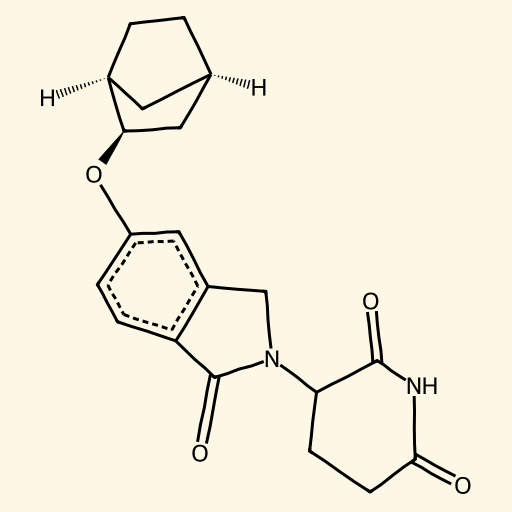 O=C1CCC(N2Cc3cc(O[C@@H]4C[C@@H]5CC[C@H]4C5)ccc3C2=O)C(=O)N1